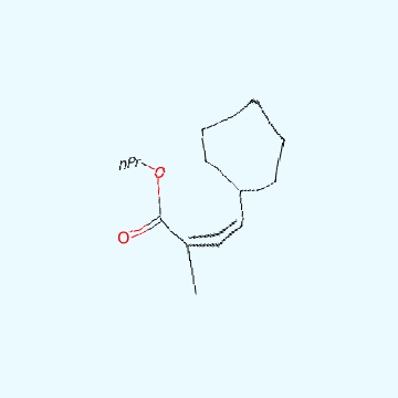 [CH2]CCOC(=O)C(C)=CC1CCCCC1